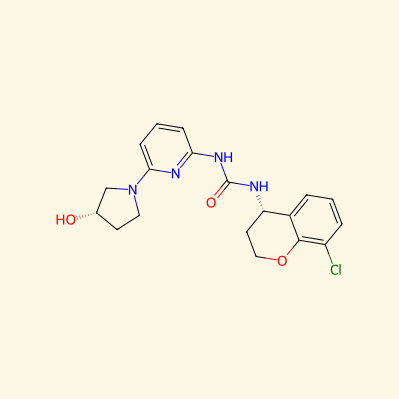 O=C(Nc1cccc(N2CC[C@H](O)C2)n1)N[C@H]1CCOc2c(Cl)cccc21